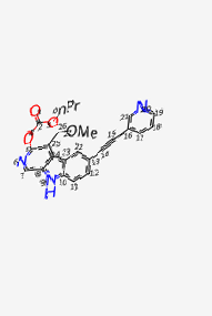 CCCOC(=O)Oc1ncc2[nH]c3ccc(C#Cc4cccnc4)cc3c2c1COC